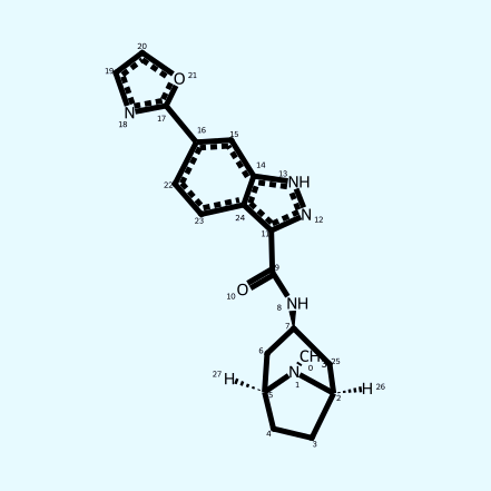 CN1[C@@H]2CC[C@H]1C[C@@H](NC(=O)c1n[nH]c3cc(-c4ncco4)ccc13)C2